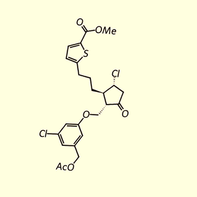 COC(=O)c1ccc(CCC[C@H]2[C@H](Cl)CC(=O)[C@@H]2COc2cc(Cl)cc(COC(C)=O)c2)s1